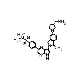 C=C1c2ccc(N3CC[C@@H](CN)C3)cc2CN1c1c[nH]c2ncc(-c3ccc(S(=O)(=O)C(C)C)cc3)nc12